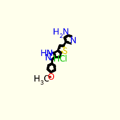 COc1ccc(-c2n[nH]c3c2Cc2sc(-c4cncc(N)c4)cc2-3)cc1.Cl